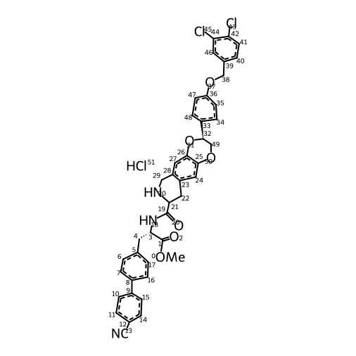 COC(=O)[C@H](Cc1ccc(-c2ccc(C#N)cc2)cc1)NC(=O)C1Cc2cc3c(cc2CN1)O[C@@H](c1ccc(OCc2ccc(Cl)c(Cl)c2)cc1)CO3.Cl